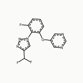 Fc1cccc(Oc2cncnc2)c1-n1cc(C(F)F)nn1